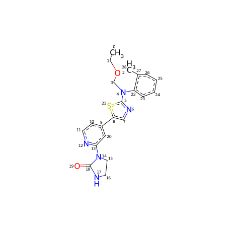 CCOCN(c1ncc(-c2ccnc(N3CCNC3=O)c2)s1)c1ccccc1C